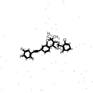 CC1(C)Oc2cc(C#Cc3cc(F)c(F)cc3F)ccc2-c2[nH]c(-c3c(F)cccc3Cl)nc21